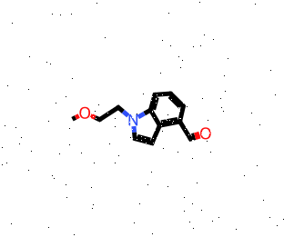 COCCn1ccc2c(C=O)cccc21